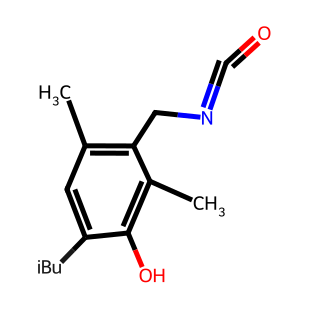 CCC(C)c1cc(C)c(CN=C=O)c(C)c1O